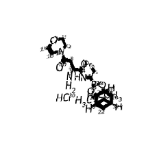 CC(C)C[C@H](NC(=O)[C@H](N)CC(=O)N1CCOCC1)B1O[C@@H]2C[C@@H]3C[C@@H](C3(C)C)[C@]2(C)O1.Cl